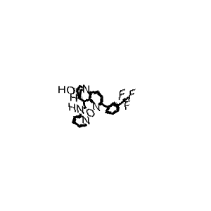 O=C(Nc1ccccn1)C1c2nc(-c3cccc(C(F)(F)F)c3)ccc2N2C[C@@H](O)[C@H]1C2